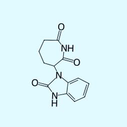 O=C1CCCC(n2c(=O)[nH]c3ccccc32)C(=O)N1